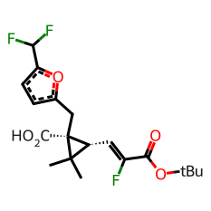 CC(C)(C)OC(=O)/C(F)=C/[C@@H]1C(C)(C)[C@]1(Cc1ccc(C(F)F)o1)C(=O)O